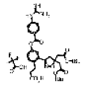 CC(C)(C)OC(=O)CC1(CC(=O)OC(C)(C)C)CC(c2cc(OC(=O)c3ccc(NC(=N)N)cc3)ccc2CCC(=O)O)=NO1.O=C(O)C(F)(F)F